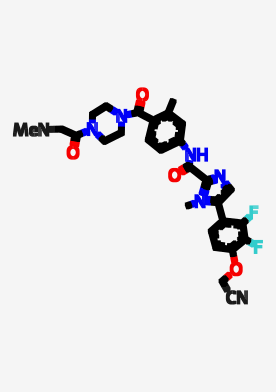 CNCC(=O)N1CCN(C(=O)c2ccc(NC(=O)c3ncc(-c4ccc(OCC#N)c(F)c4F)n3C)cc2C)CC1